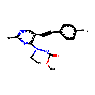 CC(C)CN(NC(=O)OC(C)(C)C)c1nc(C#N)ncc1C#Cc1ccc(C(F)(F)F)cc1